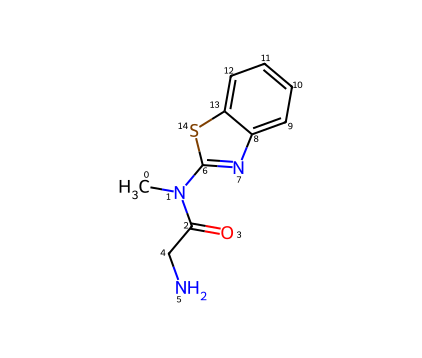 CN(C(=O)CN)c1nc2ccccc2s1